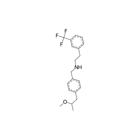 COC(C)Cc1ccc(CNCCc2cccc(C(F)(F)F)c2)cc1